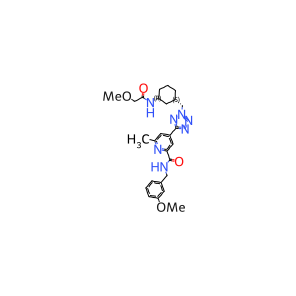 COCC(=O)N[C@@H]1CCC[C@H](Cn2nnc(-c3cc(C)nc(C(=O)NCc4cccc(OC)c4)c3)n2)C1